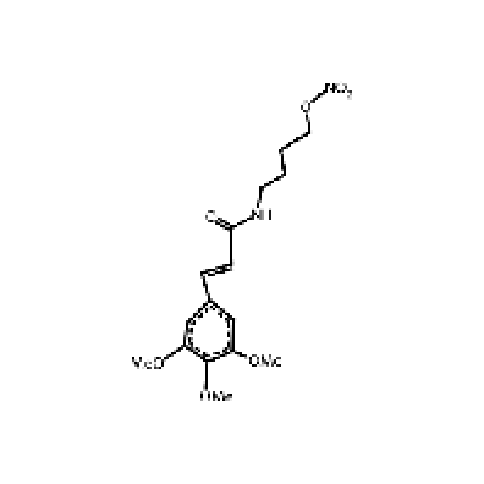 COc1cc(C=CC(=O)NCCCCO[N+](=O)[O-])cc(OC)c1OC